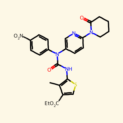 CCOC(=O)c1csc(NC(=O)N(c2ccc([N+](=O)[O-])cc2)c2ccc(N3CCCCC3=O)nc2)c1C